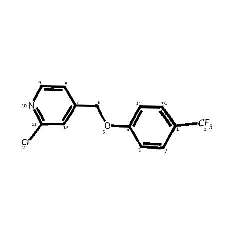 FC(F)(F)c1ccc(OCc2ccnc(Cl)c2)cc1